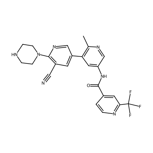 Cc1ncc(NC(=O)c2ccnc(C(F)(F)F)c2)cc1-c1cnc(N2CCNCC2)c(C#N)c1